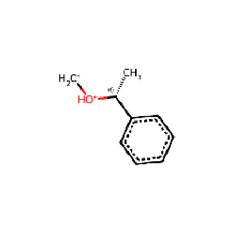 [CH2-][OH+][C@H](C)c1ccccc1